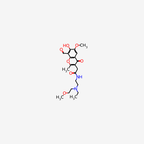 CCN(CCNC(=O)Cc1c(C)oc2c(C=O)c(O)c(OC)cc2c1=O)CCOC